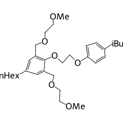 CCCCCCc1cc(COCCOC)c(OCCOc2ccc(C(C)CC)cc2)c(COCCOC)c1